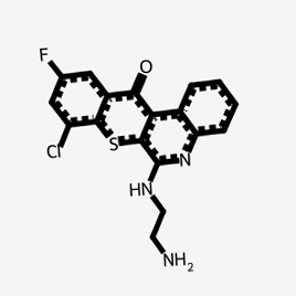 NCCNc1nc2ccccc2c2c(=O)c3cc(F)cc(Cl)c3sc12